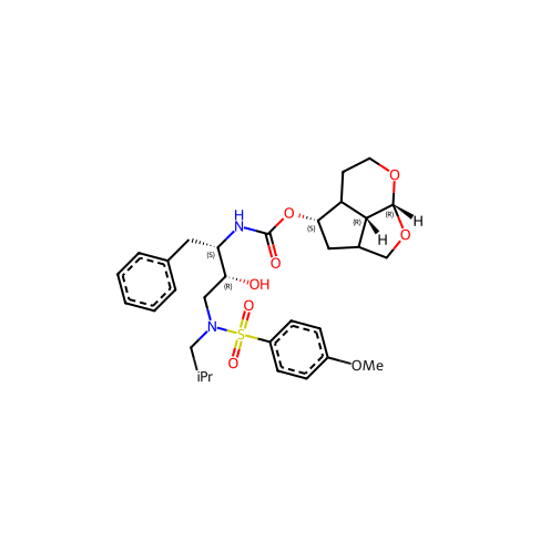 COc1ccc(S(=O)(=O)N(CC(C)C)C[C@@H](O)[C@H](Cc2ccccc2)NC(=O)O[C@H]2CC3CO[C@H]4OCCC2[C@@H]34)cc1